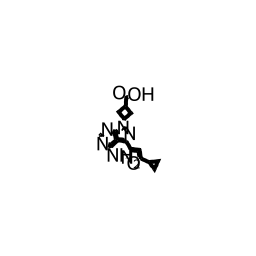 Nc1ncnc2c1c(-c1cc(C3CC3)on1)nn2C1CC(C(=O)O)C1